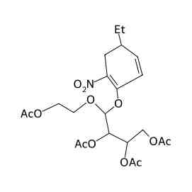 CCC1C=CC(OC(OCCOC(C)=O)C(OC(C)=O)C(COC(C)=O)OC(C)=O)=C([N+](=O)[O-])C1